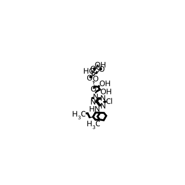 CCC[C@@H]1C[C@]2(C)CCC[C@](Nc3nc(Cl)nc4c3ncn4[C@@H]3O[C@H](COP(=O)(O)CS(=O)(=O)O)C(O)C3O)(C1)C2